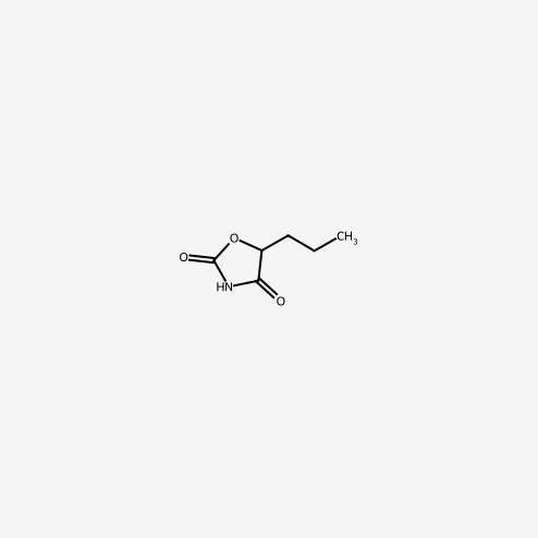 CCCC1OC(=O)NC1=O